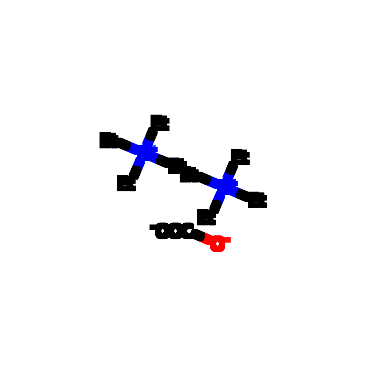 CC[N+](CC)(CC)CC.CC[N+](CC)(CC)CC.O=C([O-])[O-]